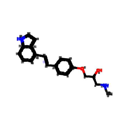 CC(C)(C)NCC(O)COc1ccc(/C=C/c2cccc3[nH]ccc23)cc1